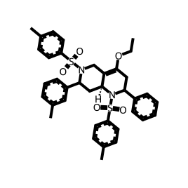 CCOC1=C2CN(S(=O)(=O)c3ccc(C)cc3)C(c3cccc(C)c3)C[C@@H]2N(S(=O)(=O)c2ccc(C)cc2)C(c2ccccc2)C1